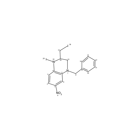 O=[N+]([O-])c1ccc2c(c1)N(Cc1ccccc1)CC(CI)N2I